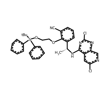 C[C@@H](Nc1nc(Cl)nc2cnc(Cl)cc12)c1cccc(C#N)c1OCCO[Si](c1ccccc1)(c1ccccc1)C(C)(C)C